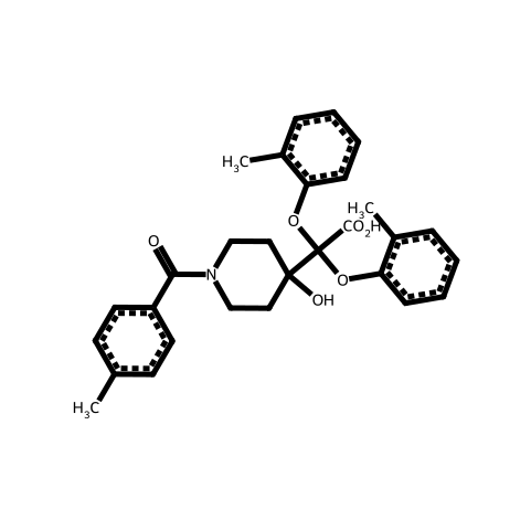 Cc1ccc(C(=O)N2CCC(O)(C(Oc3ccccc3C)(Oc3ccccc3C)C(=O)O)CC2)cc1